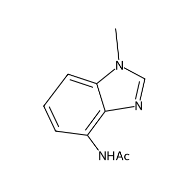 CC(=O)Nc1cccc2c1ncn2C